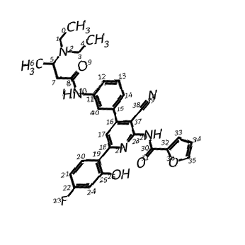 CCN(CC)C(C)CC(=O)Nc1cccc(-c2cc(-c3ccc(F)cc3O)nc(NC(=O)c3ccco3)c2C#N)c1